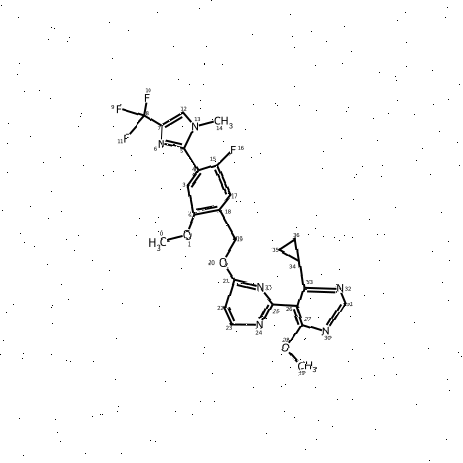 COc1cc(-c2nc(C(F)(F)F)cn2C)c(F)cc1COc1ccnc(-c2c(OC)ncnc2C2CC2)n1